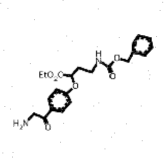 CCOC(=O)C(CCNC(=O)OCc1ccccc1)Oc1ccc(C(=O)CN)cc1